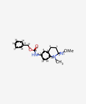 CO/N=C1\CCc2cc(NC(=O)OCc3ccccc3)ccc2N1C